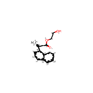 C=C(C(=O)OCCO)c1cccc2ccccc12